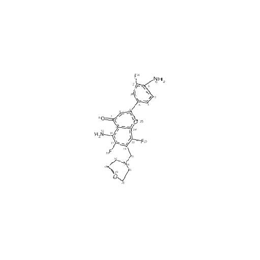 Nc1ccc(-c2cc(=O)c3c(N)c(F)c(CN4CCOCC4)c(F)c3o2)cc1F